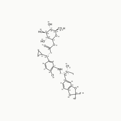 C[C@H]([C@@H](CNc1cc([C@@H](CC(=O)OC2O[C@H](C(=O)O)[C@@H](O)[C@H](O)[C@H]2O)C2CC2)ccc1Cl)c1ccc2c(c1)OC(F)(F)O2)C(F)(F)F